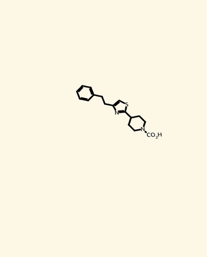 O=C(O)N1CCC(c2nc(CCc3ccccc3)cs2)CC1